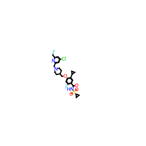 O=C(NS(=O)(=O)C1CC1)c1cc(C2CC2)c(OCC2CCN(Cc3cc(Cl)cc(CF)n3)CC2)cc1F